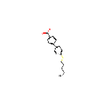 CCCCCSc1ccc(-c2ccc(C(=O)O)cc2)cc1